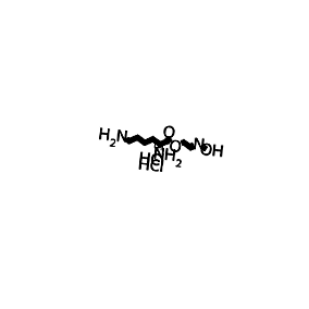 Cl.Cl.NCCCC[C@H](N)C(=O)OCC=NO